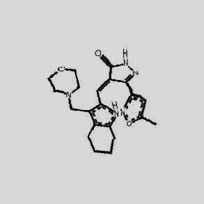 Cc1cc(C2=NNC(=O)/C2=C/c2[nH]c3c(c2CN2CCOCC2)CCCC3)no1